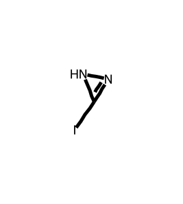 IC1=NN1